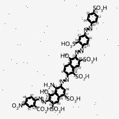 Nc1c(N=Nc2ccc3c(O)c(N=Nc4ccc(N=Nc5ccc(S(=O)(=O)O)cc5)cc4S(=O)(=O)O)c(S(=O)(=O)O)cc3c2S(=O)(=O)O)cc(S(=O)(=O)O)c2cc(S(=O)(=O)O)c(N=Nc3ccc([N+](=O)[O-])cc3C(=O)O)c(O)c12